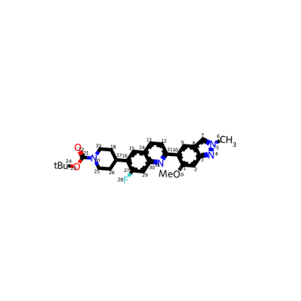 COc1cc2nn(C)cc2cc1-c1ccc2cc(C3CCN(C(=O)OC(C)(C)C)CC3)c(F)cc2n1